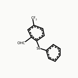 O=Cc1cc(C(F)(F)F)ccc1[Se]c1ccccc1